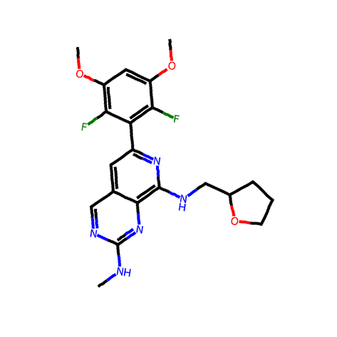 CNc1ncc2cc(-c3c(F)c(OC)cc(OC)c3F)nc(NCC3CCCO3)c2n1